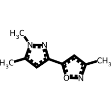 Cc1cc(-c2cc(C)n(C)n2)on1